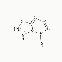 O=c1[c]ccc2n1NNC2